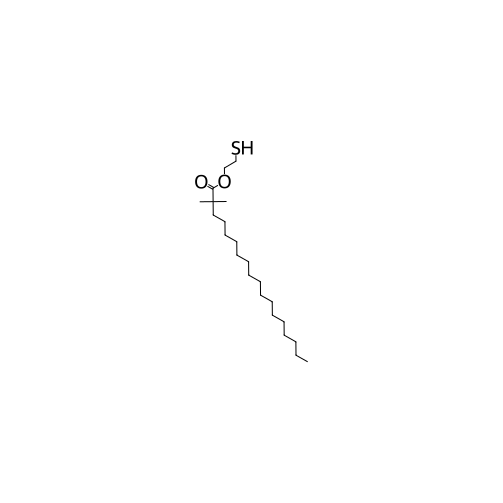 CCCCCCCCCCCCCCCCC(C)(C)C(=O)OCCS